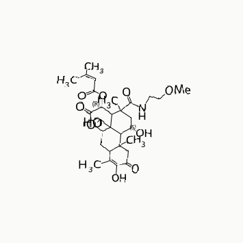 COCCNC(=O)C1(C)C[C@H](O)C2C3(C)CC(=O)C(O)=C(C)C3CC3OC(=O)[C@H](OC(=O)C=C(C)C)C1C32CO